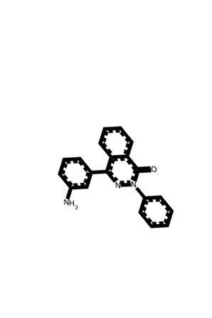 Nc1cccc(-c2nn(-c3ccccc3)c(=O)c3ccccc23)c1